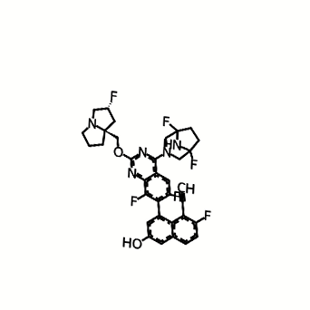 C#Cc1c(F)ccc2cc(O)cc(-c3c(F)cc4c(N5CC6(F)CCC(F)(C5)N6)nc(OC[C@@]56CCCN5C[C@H](F)C6)nc4c3F)c12